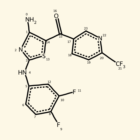 Nc1nc(Nc2ccc(F)c(F)c2)sc1C(=O)c1ccc(C(F)(F)F)nc1